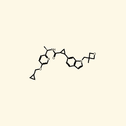 C[C@@H](NC(=O)C1CC1c1ccc2ccn(CC3(C)COC3)c2c1)c1ccc(OCC2CC2)cn1